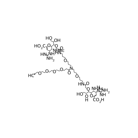 C#CCOCCOCCOCCOCCC(=O)N(CCCOCCCNC(=O)CO[C@@H]([C@@H]1OC(C(=O)O)=C[C@H](NC(=N)N)[C@H]1NC(C)=O)[C@H](O)CO)CCCOCCCNC(=O)CO[C@@H]([C@@H]1OC(C(=O)O)=C[C@H](NC(=N)N)[C@H]1NC(C)=O)[C@H](O)CO